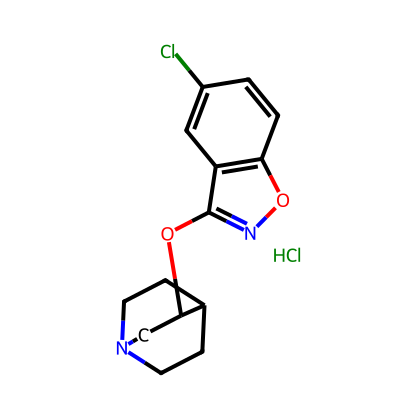 Cl.Clc1ccc2onc(OC3CN4CCC3CC4)c2c1